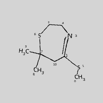 CSC1=NCCSC(C)(C)C1